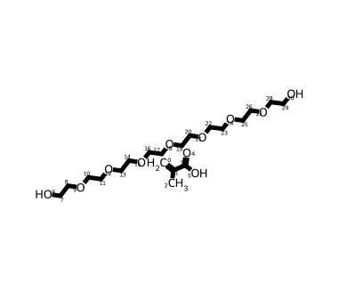 C=C(C)C(=O)O.OCCOCCOCCOCCOCCOCCOCCOCCO